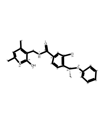 Cc1cc(C)c(CNC(=O)c2ccc([C@@H](C)Oc3ccccc3)c(Cl)c2)c(O)n1